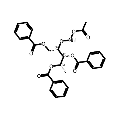 CC(=O)ONO[C@@H](COC(=O)c1ccccc1)[C@H](OC(=O)c1ccccc1)[C@H](C)OC(=O)c1ccccc1